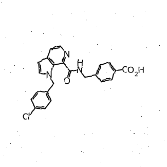 O=C(O)c1ccc(CNC(=O)c2nccc3ccn(Cc4ccc(Cl)cc4)c23)cc1